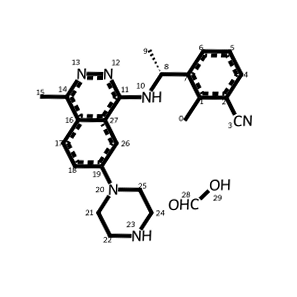 Cc1c(C#N)cccc1[C@@H](C)Nc1nnc(C)c2ccc(N3CCNCC3)cc12.O=CO